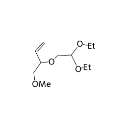 C=CC(COC)OCC(OCC)OCC